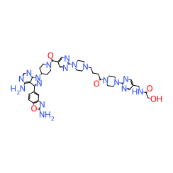 Nc1nc2cc(-c3nn(C4CCN(C(=O)c5cnc(N6CCN(CCCC(=O)N7CCN(c8ncc(CNC(=O)CO)cn8)CC7)CC6)nc5)CC4)c4ncnc(N)c34)ccc2o1